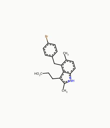 Cc1ccc2[nH]c(C)c(CCC(=O)O)c2c1Cc1ccc(Br)cc1